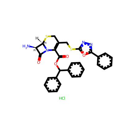 Cl.N[C@@H]1C(=O)N2C(C(=O)OC(c3ccccc3)c3ccccc3)=C(CSc3nnc(-c4ccccc4)o3)CS[C@H]12